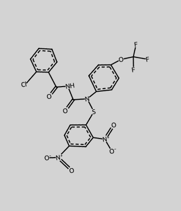 O=C(NC(=O)N(Sc1ccc([N+](=O)[O-])cc1[N+](=O)[O-])c1ccc(OC(F)(F)F)cc1)c1ccccc1Cl